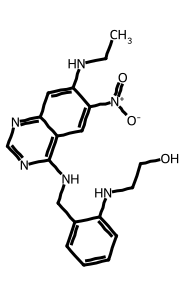 CCNc1cc2ncnc(NCc3ccccc3NCCO)c2cc1[N+](=O)[O-]